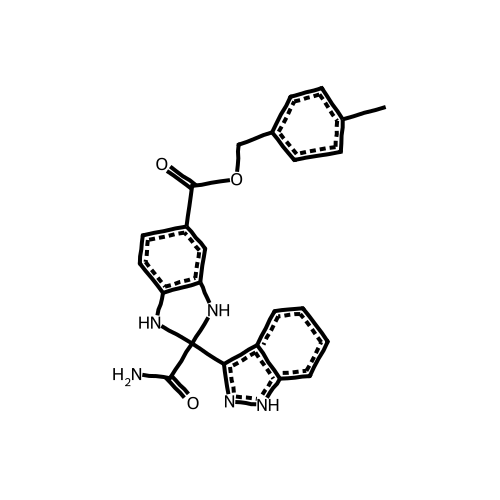 Cc1ccc(COC(=O)c2ccc3c(c2)NC(C(N)=O)(c2n[nH]c4ccccc24)N3)cc1